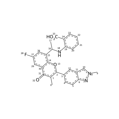 Cc1c(-c2ccc3nn(C)cc3c2)oc2c(C(C)Nc3ccccc3C(=O)O)cc(F)cc2c1=O